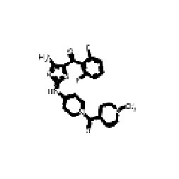 CN1CCC(C(=O)N2CCC(Nc3nc(N)c(C(=O)c4c(F)cccc4F)s3)CC2)CC1